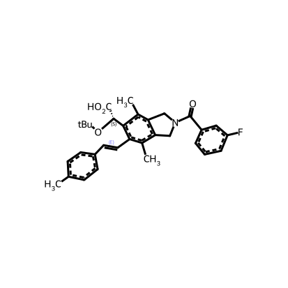 Cc1ccc(/C=C/c2c(C)c3c(c(C)c2[C@H](OC(C)(C)C)C(=O)O)CN(C(=O)c2cccc(F)c2)C3)cc1